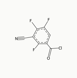 N#Cc1c(F)c(F)cc(C(=O)Cl)c1F